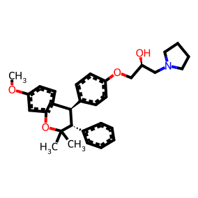 COc1ccc2c(c1)OC(C)(C)[C@@H](c1ccccc1)[C@@H]2c1ccc(OC[C@@H](O)CN2CCCC2)cc1